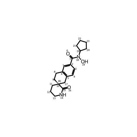 O=C(c1ccc2c(c1)CC[C@@]1(CCCNC1=O)C2)N(O)C1CCCC1